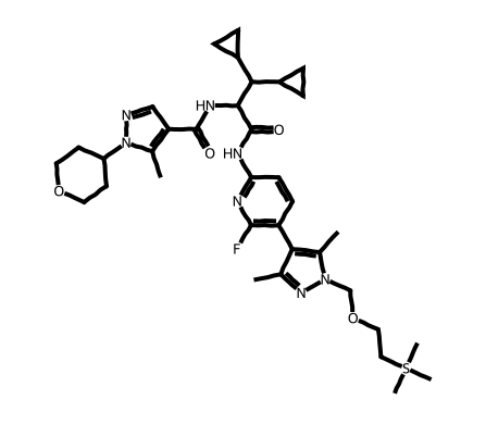 Cc1nn(COCCS(C)(C)C)c(C)c1-c1ccc(NC(=O)C(NC(=O)c2cnn(C3CCOCC3)c2C)C(C2CC2)C2CC2)nc1F